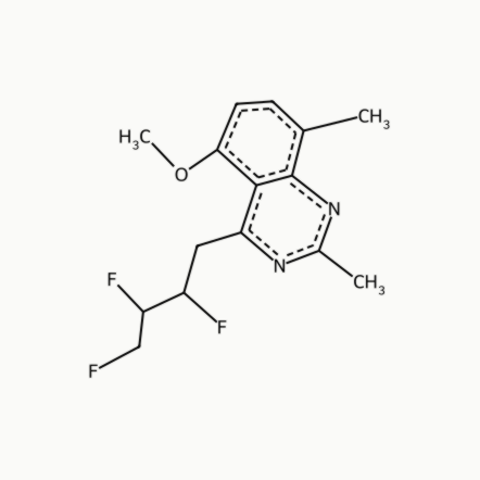 COc1ccc(C)c2nc(C)nc(CC(F)C(F)CF)c12